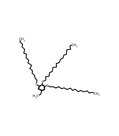 [CH2]Cc1cc(SCCCCCCCCCCCCCCCCC)c(SCCCCCCCCCCCCCCCCC)c(SCCCCCCCCCCCCCCCCC)c1